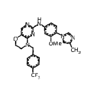 COc1cc(Nc2ncc3c(n2)N(Cc2ccc(C(F)(F)F)cc2)CCO3)ccc1-n1cnc(C)c1